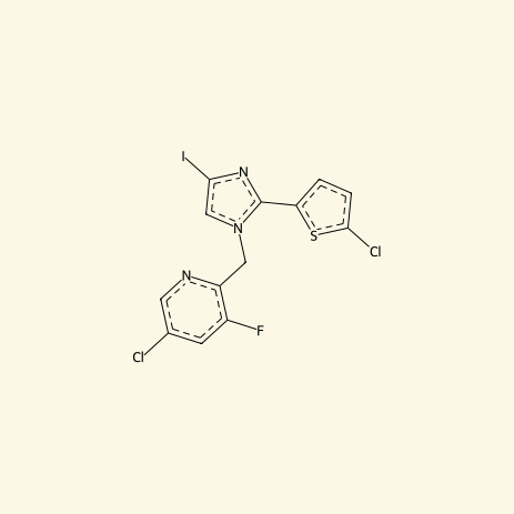 Fc1cc(Cl)cnc1Cn1cc(I)nc1-c1ccc(Cl)s1